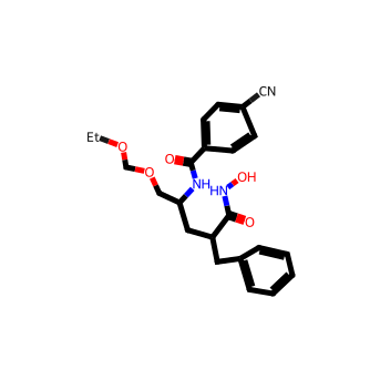 CCOCOCC(CC(Cc1ccccc1)C(=O)NO)NC(=O)c1ccc(C#N)cc1